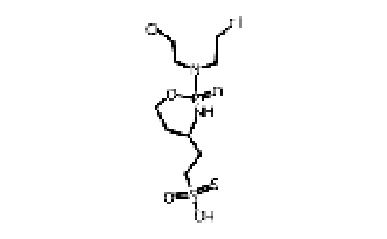 O=P1(N(CCCl)CCCl)NC(CCS(=O)(O)=S)CCO1